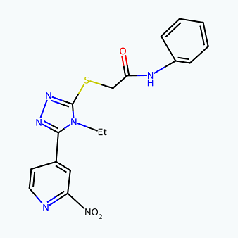 CCn1c(SCC(=O)Nc2ccccc2)nnc1-c1ccnc([N+](=O)[O-])c1